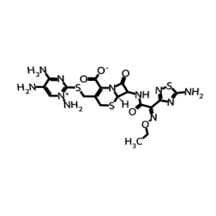 CCO/N=C(\C(=O)NC1C(=O)N2C(C(=O)[O-])=C(CSc3nc(N)c(N)c[n+]3N)CS[C@H]12)c1nsc(N)n1